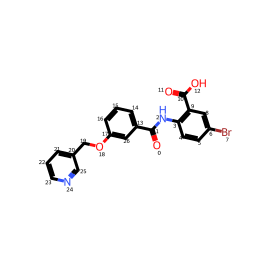 O=C(Nc1ccc(Br)cc1C(=O)O)c1cccc(OCc2cccnc2)c1